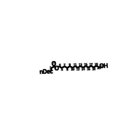 CCCCCCCCCCCC(=O)OCCCCCCCCCCCCCCCCO